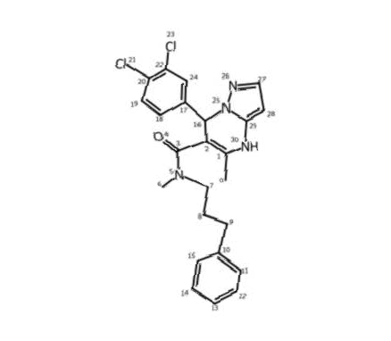 CC1=C(C(=O)N(C)CCCc2ccccc2)C(c2ccc(Cl)c(Cl)c2)n2nccc2N1